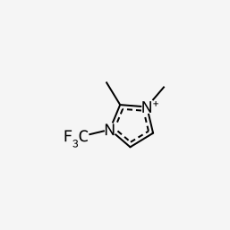 Cc1n(C(F)(F)F)cc[n+]1C